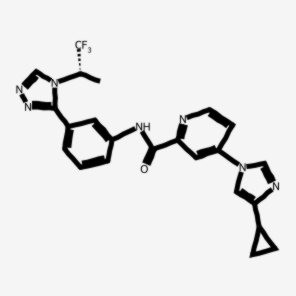 C[C@H](n1cnnc1-c1cccc(NC(=O)c2cc(-n3cnc(C4CC4)c3)ccn2)c1)C(F)(F)F